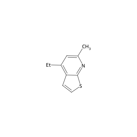 CCc1cc(C)nc2sccc12